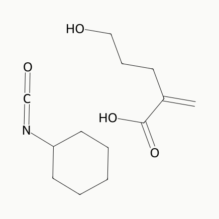 C=C(CCCO)C(=O)O.O=C=NC1CCCCC1